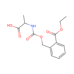 CCOC(=O)c1ccccc1COC(=O)NC(C)C(=O)O